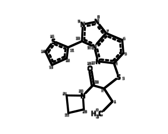 CCC(Sc1ccc2nnc(-c3cccs3)n2n1)C(=O)N1CCC1